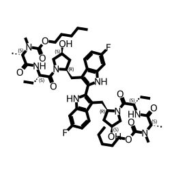 CCCCCOC(=O)N(C)[C@@H](C)C(=O)N[C@@H](CC)C(=O)N1C[C@@H](O)C[C@H]1Cc1c(-c2[nH]c3cc(F)ccc3c2C[C@@H]2C[C@H](O)CN2C(=O)[C@H](CC)NC(=O)[C@H](C)N(C)C(=O)OCCCCC)[nH]c2cc(F)ccc12